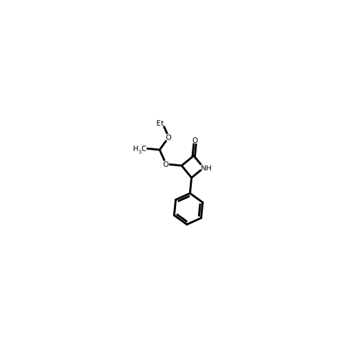 CCOC(C)OC1C(=O)NC1c1ccccc1